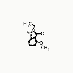 CCn1[se]c2cccc(OC)c2c1=O